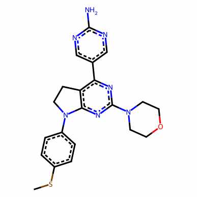 CSc1ccc(N2CCc3c(-c4cnc(N)nc4)nc(N4CCOCC4)nc32)cc1